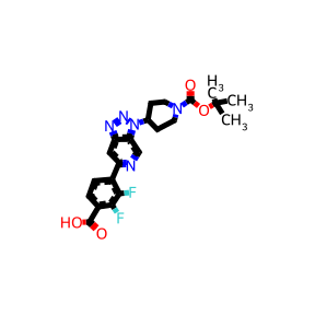 CC(C)(C)OC(=O)N1CCC(n2nnc3cc(-c4ccc(C(=O)O)c(F)c4F)ncc32)CC1